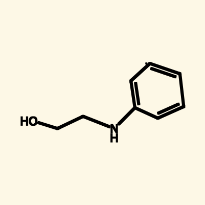 OCCNc1c[c]ccc1